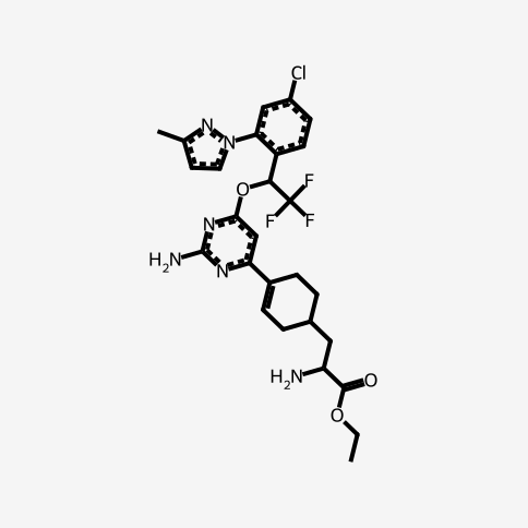 CCOC(=O)C(N)CC1CC=C(c2cc(OC(c3ccc(Cl)cc3-n3ccc(C)n3)C(F)(F)F)nc(N)n2)CC1